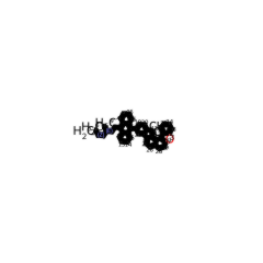 C=C/C=C\C(C=C)=C\C(=C)c1c2ccccc2c(-c2ccc3c(c2)-c2ccc4ccc5oc6ccccc6c5c4c2C3(C)C)c2ccccc12